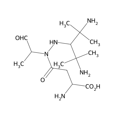 CC(C=O)N(NC(C(C)(C)N)C(C)(C)N)C(=O)CC(N)C(=O)O